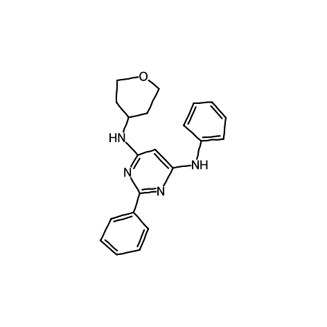 c1ccc(Nc2cc(NC3CCOCC3)nc(-c3ccccc3)n2)cc1